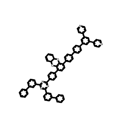 C1=CC2Oc3c(-c4ccc(-c5ccc(-c6cc(-c7ccncc7)cc(-c7ccncc7)c6)cc5)cc4)ccc(-c4ccc(-c5nc(-c6cccc(-c7ccccc7)c6)nc(-c6cccc(-c7ccccc7)c6)n5)cc4)c3OC2C=C1